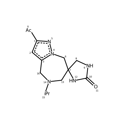 CC(=O)c1cc2n(n1)CC1(CNC(=O)N1)CN(C(C)C)C2